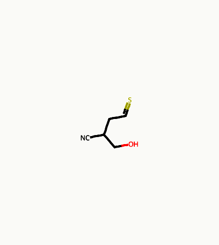 N#CC(CO)CC=S